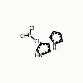 ClP(Cl)Cl.c1cc[nH]c1.c1cc[nH]c1